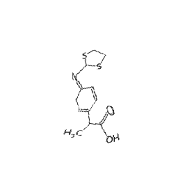 CC(C(=O)O)C1=CCC(=NC2SCCS2)C=C1